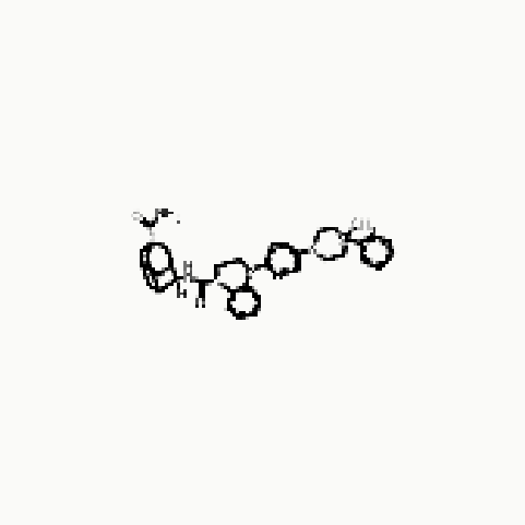 C[Si]1(c2ccccc2)CCN(c2ccc(N3CCN(C(=O)N[C@H]4C5CC6CC4C[C@@](C(N)=O)(C6)C5)c4ccccc43)nc2)CC1